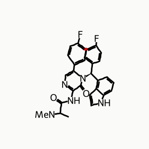 CNC(C)C(=O)Nc1ncc(-c2ccc(F)cc2)n([C@@H](c2ccc(F)cc2)c2cccc3[nH]ccc23)c1=O